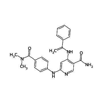 C=C(Nc1cc(Nc2ccc(C(=O)N(C)C)cc2)ncc1C(N)=O)c1ccccc1